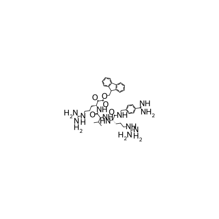 CC(C)[C@H](NN[C@@H](CCCNC(N)N)C(=O)NCc1ccc(C(=N)N)cc1)C(=O)N[C@@H](CCCNC(N)N)C(=O)C(=O)OCC1c2ccccc2-c2ccccc21